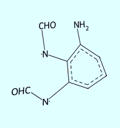 Nc1cccc([N]C=O)c1[N]C=O